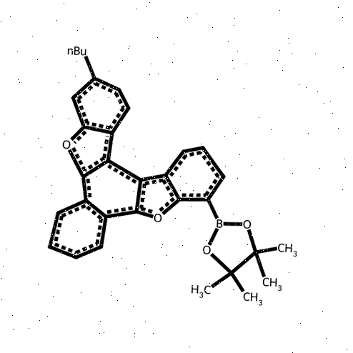 CCCCc1ccc2c(c1)oc1c3ccccc3c3oc4c(B5OC(C)(C)C(C)(C)O5)cccc4c3c21